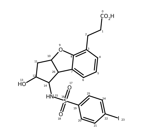 O=C(O)CCc1cccc2c1OC1CC(O)C(NS(=O)(=O)c3ccc(I)cc3)C21